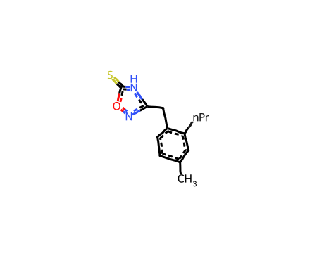 CCCc1cc(C)ccc1Cc1noc(=S)[nH]1